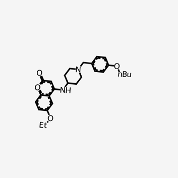 CCCCOc1ccc(CN2CCC(Nc3cc(=O)oc4ccc(OCC)cc34)CC2)cc1